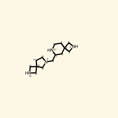 C1CC2(CNC2)CC(CN2CCC3(CNC3)C2)N1